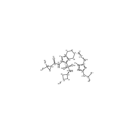 Cn1nc(OC(F)F)cc1N=C=N[C@H]1CCc2sc(NC(=O)C3CC3(F)F)c(S(=O)(=O)N[C@H]3C[C@H](F)C3)c2C1